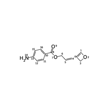 C1=COC1.C=CCOC(=O)c1ccc(N)cc1